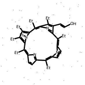 CCC1=C(C=CO)c2nc1c(CC)c1c(CC)c(CC)c(c(CC)c3nc(c(CC)c4ccc([nH]4)c2CC)C=C3)n1CC